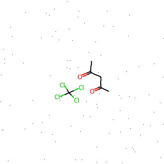 CC(=O)CC(C)=O.ClC(Cl)(Cl)Cl